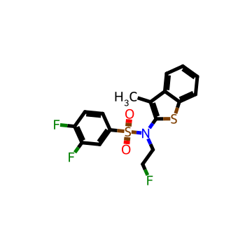 Cc1c(N(CCF)S(=O)(=O)c2ccc(F)c(F)c2)sc2ccccc12